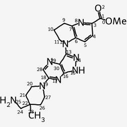 COC(=O)c1ccc2c(n1)CCCN2c1n[nH]c2nc(N3CCC(C)(CN)CC3)cnc12